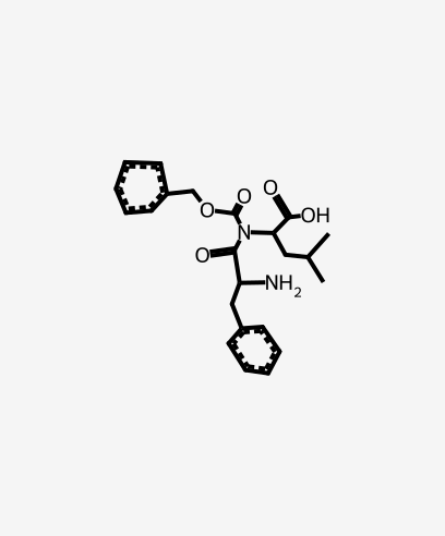 CC(C)CC(C(=O)O)N(C(=O)OCc1ccccc1)C(=O)C(N)Cc1ccccc1